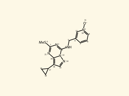 CSc1nc(NCc2ccc[n+]([O-])c2)n2ncc(C3CC3)c2n1